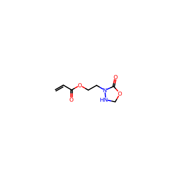 C=CC(=O)OCCN1NCOC1=O